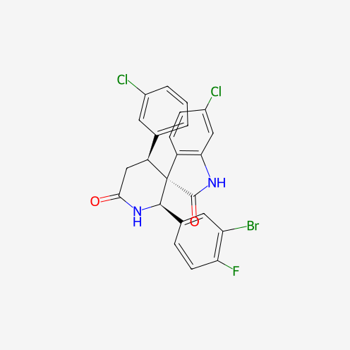 O=C1C[C@@H](c2cccc(Cl)c2)[C@]2(C(=O)Nc3cc(Cl)ccc32)[C@@H](c2ccc(F)c(Br)c2)N1